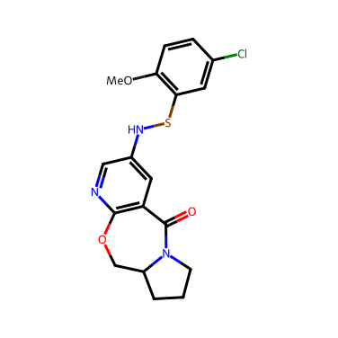 COc1ccc(Cl)cc1SNc1cnc2c(c1)C(=O)N1CCCC1CO2